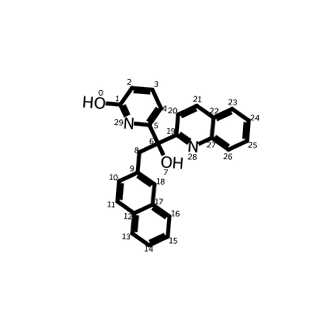 Oc1cccc(C(O)(Cc2ccc3ccccc3c2)c2ccc3ccccc3n2)n1